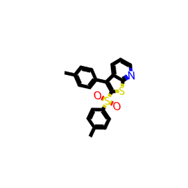 Cc1ccc(-c2c(S(=O)(=O)c3ccc(C)cc3)sc3ncccc23)cc1